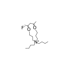 CC(=O)CC(C)=O.CCCC[N+](CCCC)(CCCC)CCCC.[F-]